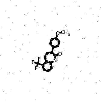 COc1ccc(-c2ccc3c(C(F)(F)F)cccc3nc2=O)cc1